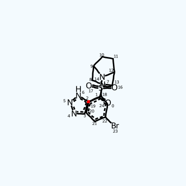 O=C(c1cnn[nH]1)N1CC2CCC(C1)N2S(=O)(=O)c1cccc(Br)c1